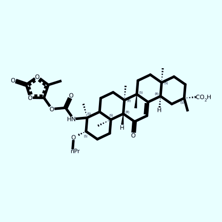 CCCO[C@H]1CC[C@@]2(C)C(CC[C@]3(C)[C@@H]2C(=O)C=C2[C@@H]4C[C@@](C)(C(=O)O)CC[C@]4(C)CC[C@]23C)[C@]1(C)NC(=O)Oc1oc(=O)oc1C